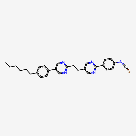 CCCCCCc1ccc(-c2cnc(CCc3cnc(-c4ccc(N=C=S)cc4)nc3)nc2)cc1